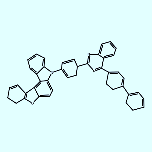 C1=CCCC(C2=CC=C(c3nc(C4C=CC(n5c6ccccc6c6c7c8c(oc7ccc65)CCC=C8)=CC4)nc4ccccc34)CC2)=C1